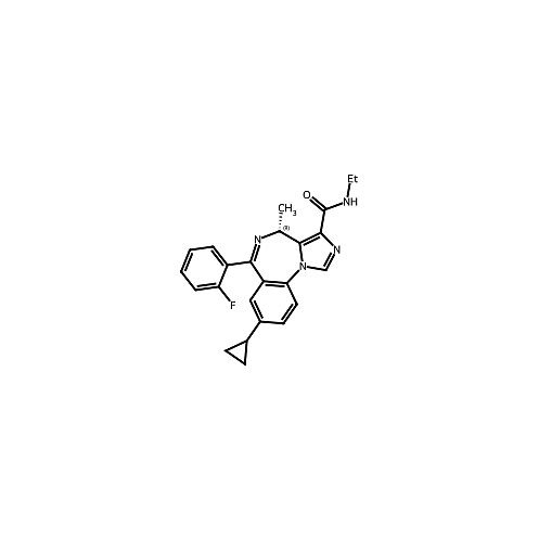 CCNC(=O)c1ncn2c1[C@@H](C)N=C(c1ccccc1F)c1cc(C3CC3)ccc1-2